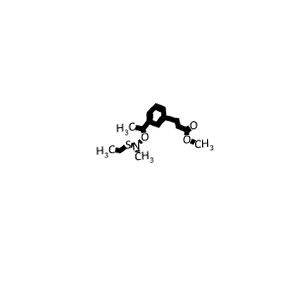 CCSN(C)OC(C)c1cccc(CCC(=O)OC)c1